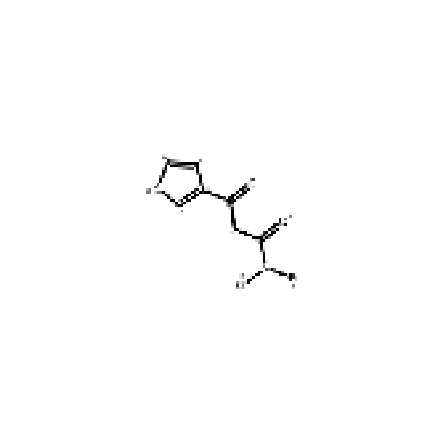 CCN(CC)C(=O)CC(=O)c1ccsc1